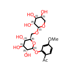 COc1ccc(C(C)=O)c(O[C@@H]2O[C@H](CO[C@@H]3OC[C@H](O)[C@H](O)[C@H]3O)[C@@H](O)[C@H](O)[C@H]2O)c1